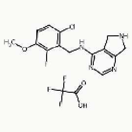 COc1ccc(Cl)c(CNc2ncnc3c2CNC3)c1F.O=C(O)C(F)(F)F